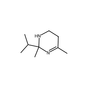 CC1=NC(C)(C(C)C)NCC1